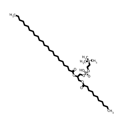 CCCCCCCCCCCCCCCCCCCCCCCC(=O)OC(COC(=O)CCCCCCCCCC)COP(=O)(O)OCC[N+](C)(C)C